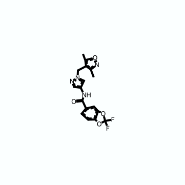 Cc1noc(C)c1Cn1cc(NC(=O)c2ccc3c(c2)OC(F)(F)O3)cn1